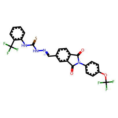 O=C1c2ccc(/C=N/NC(=S)Nc3ccccc3C(F)(F)F)cc2C(=O)N1c1ccc(OC(F)(F)F)cc1